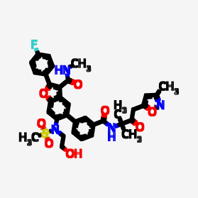 CNC(=O)c1c(-c2ccc(F)cc2)oc2cc(N(CCO)S(C)(=O)=O)c(-c3cccc(C(=O)NC(C)(C)C(=O)Cc4cc(C)no4)c3)cc12